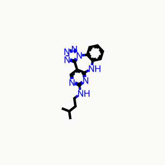 CC(C)CCNc1ncc2c(n1)Nc1ccccc1-n1nnnc1-2